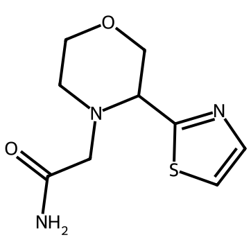 NC(=O)CN1CCOCC1c1nccs1